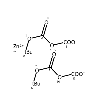 CC(C)(C)OC(=O)OC(=O)[O-].CC(C)(C)OC(=O)OC(=O)[O-].[Zn+2]